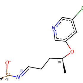 C[C@@H](CC/C=N/[S@+]([O-])C(C)(C)C)Oc1cncc(Br)c1